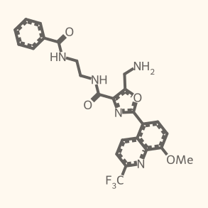 COc1ccc(-c2nc(C(=O)NCCNC(=O)c3ccccc3)c(CN)o2)c2ccc(C(F)(F)F)nc12